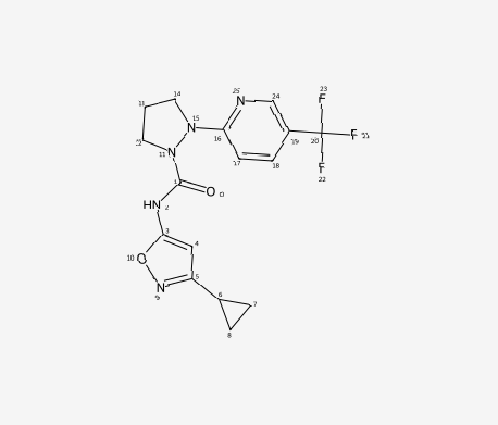 O=C(Nc1cc(C2CC2)no1)N1CCCN1c1ccc(C(F)(F)F)cn1